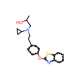 CC(O)CN(CCc1ccc(Oc2nc3ccccc3s2)cc1)C1CC1